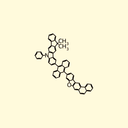 CC1(C)c2ccccc2-c2cc3c(cc21)c1cc(-c2c4ccccc4c(-c4ccc5c(c4)oc4cc6ccc7ccccc7c6cc45)c4ccccc24)ccc1n3-c1ccccc1